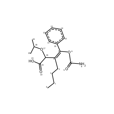 CCCCC(=C(OC(N)=O)c1ccccc1)C(OC(C)C)C(=O)O